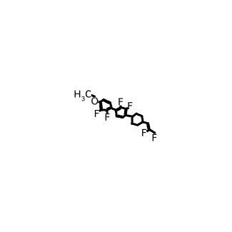 CCOc1ccc(-c2ccc(C3CCC(/C=C(\F)CF)CC3)c(F)c2F)c(F)c1F